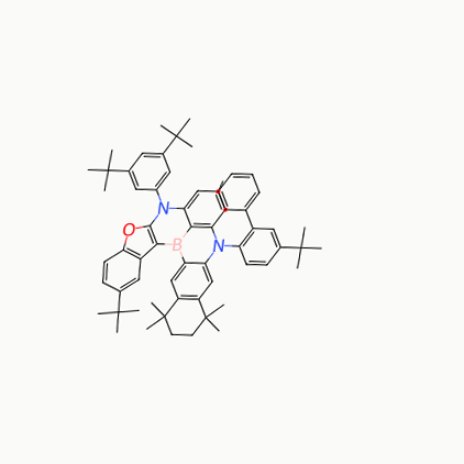 Cc1cc2c3c(c1)N(c1cc(C(C)(C)C)cc(C(C)(C)C)c1)c1oc4ccc(C(C)(C)C)cc4c1B3c1cc3c(cc1N2c1ccc(C(C)(C)C)cc1-c1ccccc1)C(C)(C)CCC3(C)C